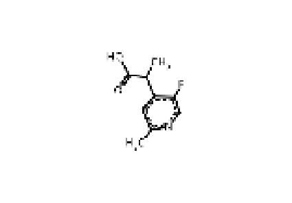 Cc1cc(C(C)C(=O)O)c(F)cn1